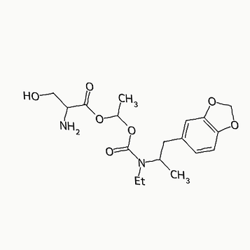 CCN(C(=O)OC(C)OC(=O)C(N)CO)C(C)Cc1ccc2c(c1)OCO2